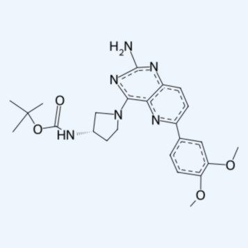 COc1ccc(-c2ccc3nc(N)nc(N4CC[C@H](NC(=O)OC(C)(C)C)C4)c3n2)cc1OC